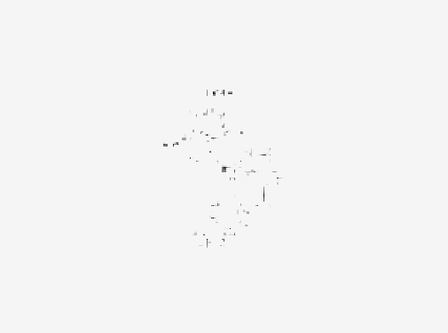 CCN1C(=O)N2Cc3cc(OC)cc(OC)c3[C@@H](C)C=C2C12CCN(Cc1cncn1C)CC2